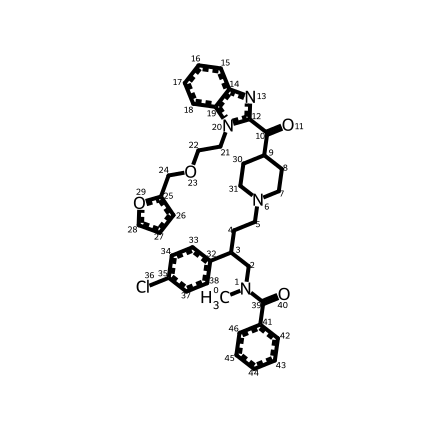 CN(CC(CCN1CCC(C(=O)c2nc3ccccc3n2CCOCc2ccco2)CC1)c1ccc(Cl)cc1)C(=O)c1ccccc1